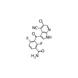 N#Cc1c(Cl)cnc2[nH]cc(C(=O)c3c(F)ccc(C(N)=O)c3F)c12